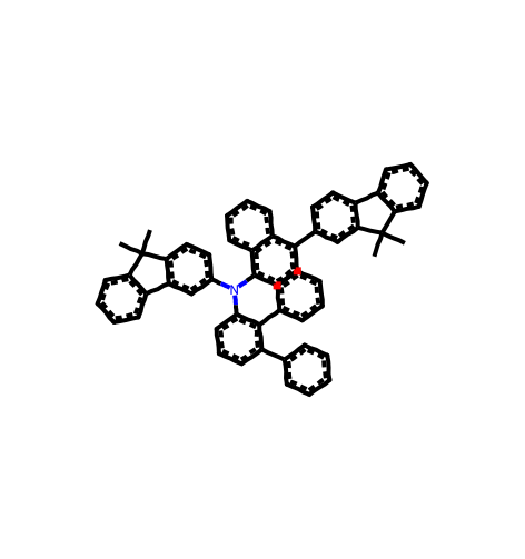 CC1(C)c2ccccc2-c2cc(N(c3cccc(-c4ccccc4)c3-c3ccccc3)c3ccc(-c4ccc5c(c4)C(C)(C)c4ccccc4-5)c4ccccc34)ccc21